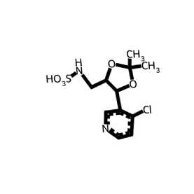 CC1(C)OC(CNS(=O)(=O)O)C(c2cnccc2Cl)O1